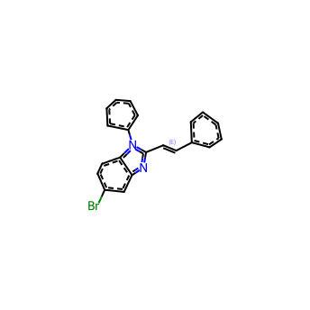 Brc1ccc2c(c1)nc(/C=C/c1ccccc1)n2-c1ccccc1